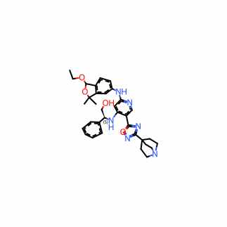 CCOC1OC(C)(C)c2cc(Nc3cc(N[C@H](CO)c4ccccc4)c(-c4nc(C56CCN(CC5)CC6)no4)cn3)ccc21